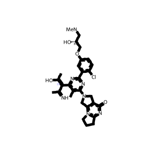 CNC[C@@H](O)COc1ccc(Cl)c(-c2nc(/C(C(C)=N)=C(\C)O)c(C)c(N3Cc4c(n5c(nc4=O)CCC5)C3)n2)c1